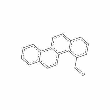 O=Cc1cccc2ccc3c4ccccc4ccc3c12